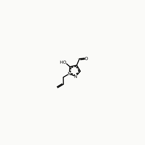 C=CCn1ncc([C]=O)c1O